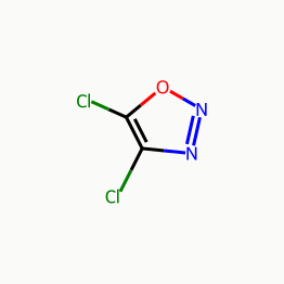 Clc1nnoc1Cl